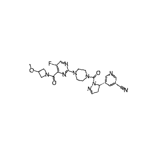 COC1CN(C(=O)c2nc(N3CCN(C(=O)N4N=CCC4c4cncc(C#N)c4)CC3)ncc2F)C1